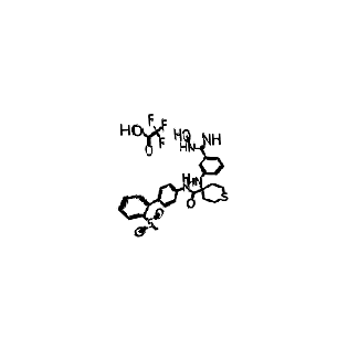 CS(=O)(=O)c1ccccc1-c1ccc(NC(=O)C2(Nc3cccc(C(=N)NO)c3)CCSCC2)cc1.O=C(O)C(F)(F)F